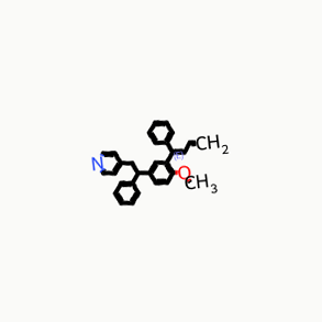 C=C/C=C(\c1ccccc1)c1cc(C(Cc2ccncc2)c2ccccc2)ccc1OC